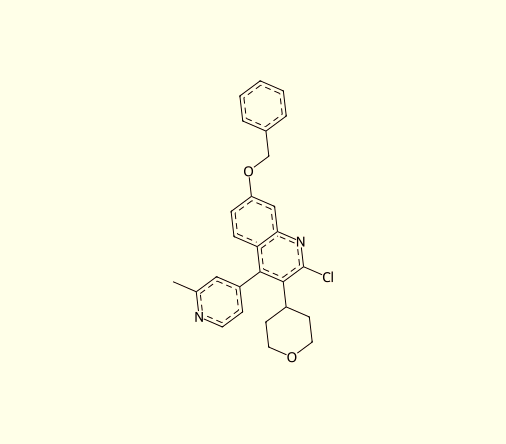 Cc1cc(-c2c(C3CCOCC3)c(Cl)nc3cc(OCc4ccccc4)ccc23)ccn1